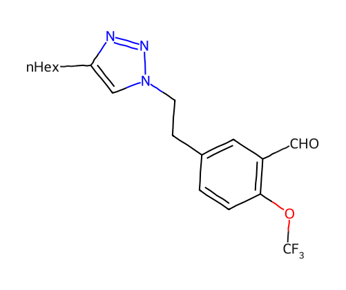 CCCCCCc1cn(CCc2ccc(OC(F)(F)F)c(C=O)c2)nn1